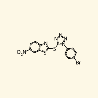 O=[N+]([O-])c1ccc2nc(Sc3nnnn3-c3ccc(Br)cc3)sc2c1